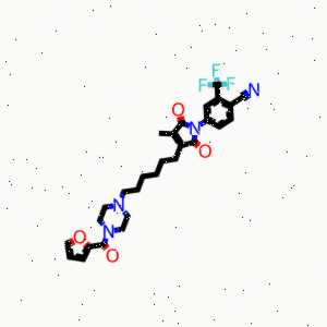 CC1=C(CCCCCCN2CCN(C(=O)c3ccco3)CC2)C(=O)N(c2ccc(C#N)c(C(F)(F)F)c2)C1=O